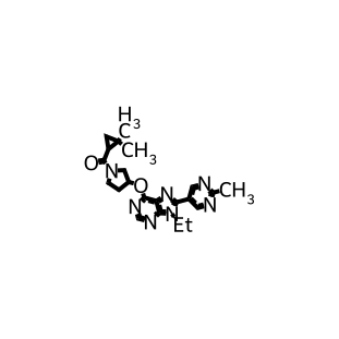 CCn1c(-c2cnc(C)nc2)nc2c(OC3CCN(C(=O)C4CC4(C)C)C3)ncnc21